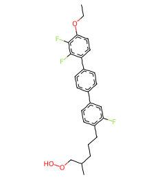 CCOc1ccc(-c2ccc(-c3ccc(CCCC(C)COO)c(F)c3)cc2)c(F)c1F